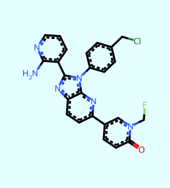 Nc1ncccc1-c1nc2ccc(-c3ccc(=O)n(CF)c3)nc2n1-c1ccc(CCl)cc1